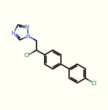 Clc1ccc(-c2ccc(C(Cl)Cn3cncn3)cc2)cc1